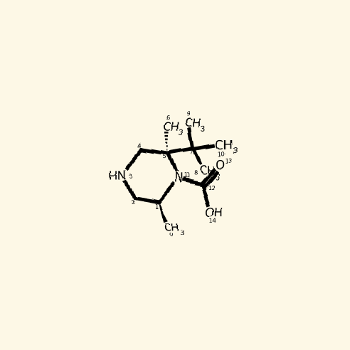 C[C@H]1CNC[C@@](C)(C(C)(C)C)N1C(=O)O